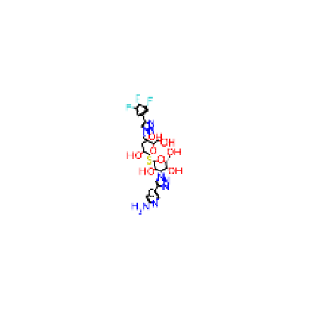 Nc1ccc(-c2cn(C3C(O)[C@@H](CO)O[C@@H](S[C@@H]4OC(CO)C(O)(Cn5cc(-c6cc(F)c(F)c(F)c6)nn5)CC4O)[C@@H]3O)nn2)cn1